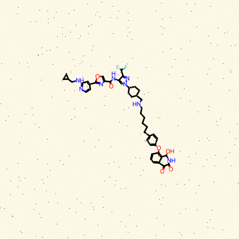 O=C1NC(O)c2c(Oc3ccc(CCCCCCNCC4CCC(n5cc(NC(=O)c6coc(-c7ccnc(NCC8CC8)c7)n6)c(C(F)F)n5)CC4)cc3)cccc2C1=O